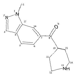 Cn1ncc2ccc(C(=O)C3CCNCC3)cc21